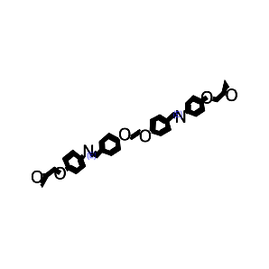 C(=N\c1ccc(OCC2CO2)cc1)/c1ccc(OCCOc2ccc(/C=N/c3ccc(OCC4CO4)cc3)cc2)cc1